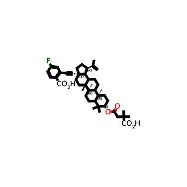 C=C(C)[C@@H]1CC[C@]2(C#Cc3cc(F)ccc3C(=O)O)CC[C@]3(C)C(CCC4[C@@]5(C)CC[C@H](OC(=O)CC(C)(C)C(=O)O)C(C)(C)C5CC[C@]43C)C12